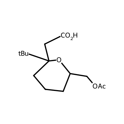 CC(=O)OCC1CCCC(CC(=O)O)(C(C)(C)C)O1